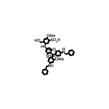 COc1cc(NCc2ccccc2)ccc1C(c1ccc(NCc2ccccc2)cc1OC)c1ccc(Nc2cc(S(=O)(=O)O)c(OC)cc2CO)cc1S(=O)(=O)O